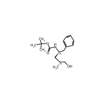 C[C@@H](CO)C[C@H](Cc1ccccc1)NC(=O)OC(C)(C)C